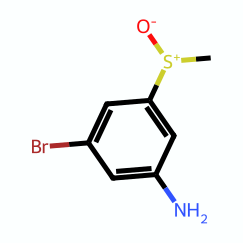 C[S+]([O-])c1cc(N)cc(Br)c1